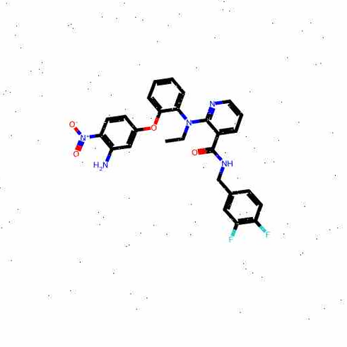 CCN(c1ccccc1Oc1ccc([N+](=O)[O-])c(N)c1)c1ncccc1C(=O)NCc1ccc(F)c(F)c1